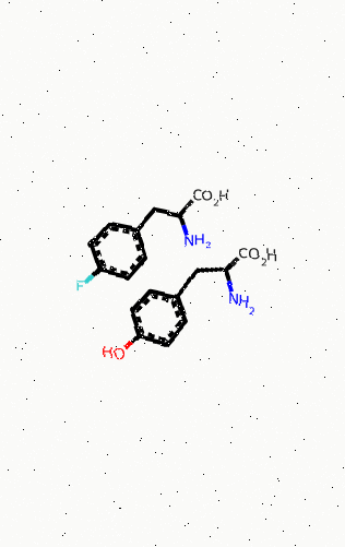 NC(Cc1ccc(F)cc1)C(=O)O.NC(Cc1ccc(O)cc1)C(=O)O